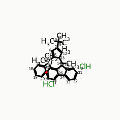 Cl.Cl.[CH2]=[Zr]([CH3])([C]1=CC(C(C)(C)C)=CC1CC)([c]1ccccc1)[c]1cccc2c1Cc1ccccc1-2